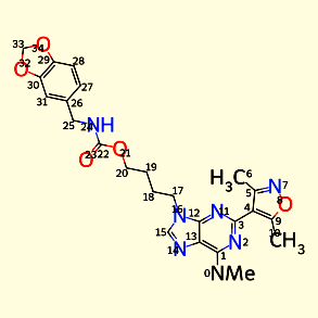 CNc1nc(-c2c(C)noc2C)nc2c1ncn2CCCCOC(=O)NCc1ccc2c(c1)OCO2